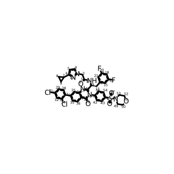 O=C(Cn1ccc(C2CC2)n1)N[C@@H](Cc1cc(F)cc(F)c1)c1nc2cc(-c3ccc(Cl)cc3Cl)ccc2c(=O)n1-c1ccc(S(=O)(=O)N2CCOCC2)cc1